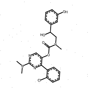 CN(CC(O)c1cccc(O)c1)C(=O)Oc1cnc(N(C)C)nc1-c1ccccc1Cl